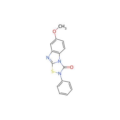 COc1ccc2c(c1)nc1sn(-c3ccccc3)c(=O)n12